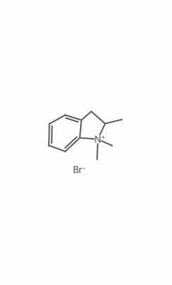 CC1Cc2ccccc2[N+]1(C)C.[Br-]